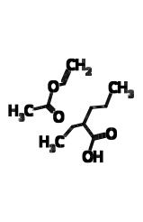 C=COC(C)=O.CCCC(CC)C(=O)O